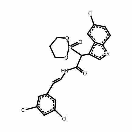 O=C(NC=Cc1cc(Cl)cc(Cl)c1)C(c1csc2ccc(Cl)cc12)P1(=O)OCCCO1